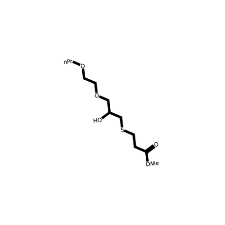 CCCOCCOCC(O)CSCCC(=O)OC